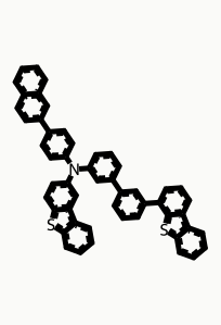 c1cc(-c2cccc(N(c3ccc(-c4ccc5ccccc5c4)cc3)c3ccc4sc5ccccc5c4c3)c2)cc(-c2cccc3c2sc2ccccc23)c1